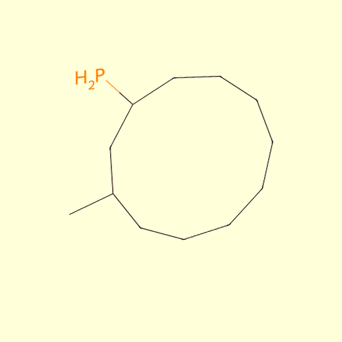 CC1CCCCCCCCC(P)C1